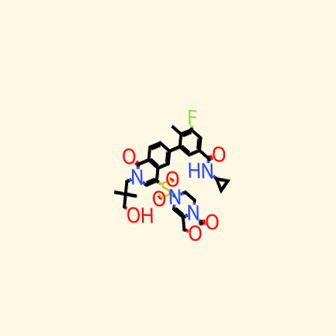 Cc1c(F)cc(C(=O)NC2CC2)cc1-c1ccc2c(=O)n(CC(C)(C)CO)cc(S(=O)(=O)N3C=C4COC(=O)N4CC3)c2c1